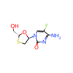 Nc1nc(=O)n([C@H]2CS[C@H](CO)O2)cc1F